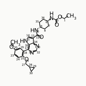 CCOC(=O)N[C@H]1CC[C@H](NC(=O)c2c[nH]c3c(-c4cc(OC)ccc4OCC4CC4)ncnc23)CC1